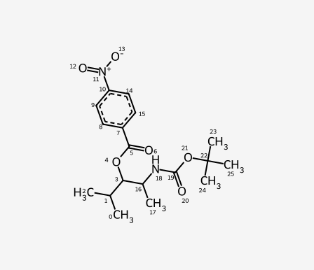 CC(C)C(OC(=O)c1ccc([N+](=O)[O-])cc1)C(C)NC(=O)OC(C)(C)C